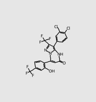 O=c1cc(-c2ccc(C(F)(F)F)cc2O)n2nc(C(F)(F)F)c(-c3ccc(Cl)c(Cl)c3)c2[nH]1